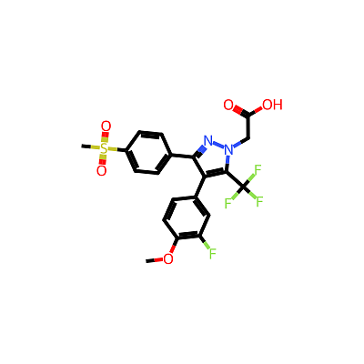 COc1ccc(-c2c(-c3ccc(S(C)(=O)=O)cc3)nn(CC(=O)O)c2C(F)(F)F)cc1F